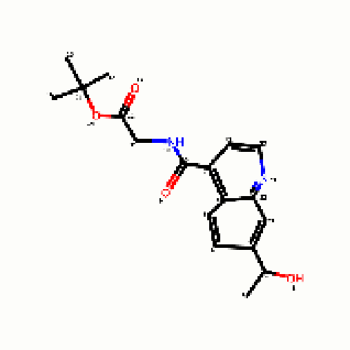 CC(O)c1ccc2c(C(=O)NCC(=O)OC(C)(C)C)ccnc2c1